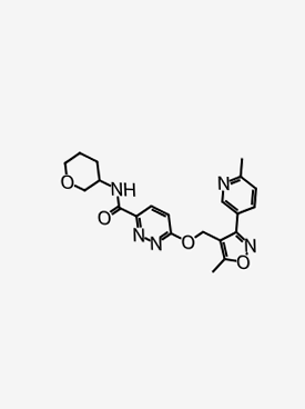 Cc1ccc(-c2noc(C)c2COc2ccc(C(=O)NC3CCCOC3)nn2)cn1